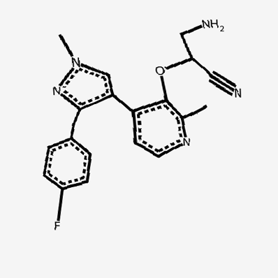 Cc1nccc(-c2cn(C)nc2-c2ccc(F)cc2)c1OC(C#N)CN